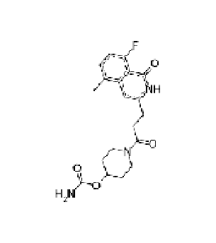 Cc1ccc(F)c2c(=O)[nH]c(CCC(=O)N3CCC(OC(N)=O)CC3)cc12